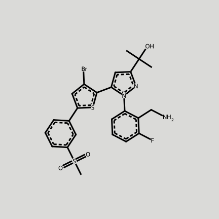 CC(C)(O)c1cc(-c2sc(-c3cccc(S(C)(=O)=O)c3)cc2Br)n(-c2cccc(F)c2CN)n1